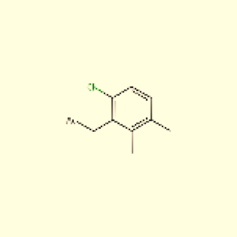 CC(=O)Cc1c(Cl)ccc(C)c1C